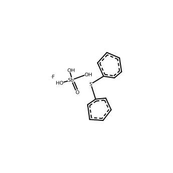 [F].[O]=[Sb]([OH])([OH])[OH].c1ccc(Sc2ccccc2)cc1